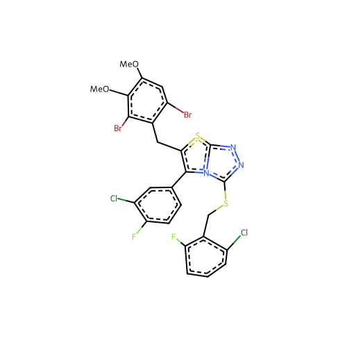 COc1cc(Br)c(Cc2sc3nnc(SCc4c(F)cccc4Cl)n3c2-c2ccc(F)c(Cl)c2)c(Br)c1OC